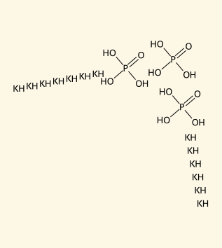 O=P(O)(O)O.O=P(O)(O)O.O=P(O)(O)O.[KH].[KH].[KH].[KH].[KH].[KH].[KH].[KH].[KH].[KH].[KH].[KH].[KH]